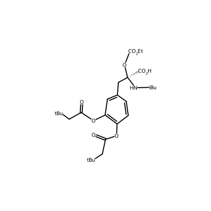 CCOC(=O)O[C@](Cc1ccc(OC(=O)CC(C)(C)C)c(OC(=O)CC(C)(C)C)c1)(NC(C)CC)C(=O)O